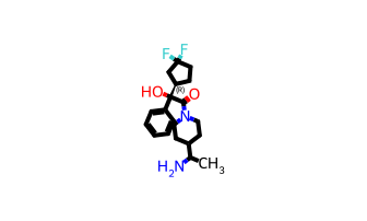 CC(N)C1CCN(C(=O)C(O)(c2ccccc2)[C@@H]2CCC(F)(F)C2)CC1